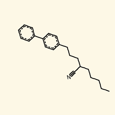 CCCCCC(C#N)CCCc1ccc(-c2ccccc2)cc1